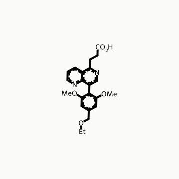 CCOCc1cc(OC)c(-c2cnc(CCC(=O)O)c3cccnc23)c(OC)c1